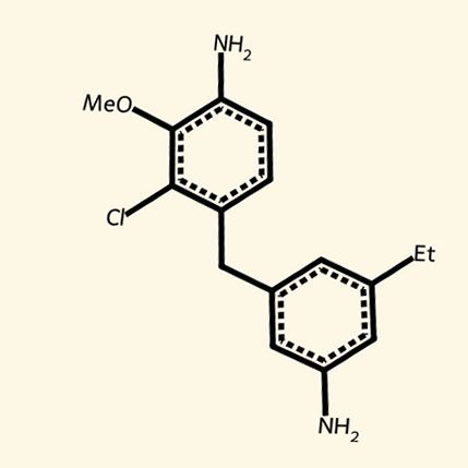 CCc1cc(N)cc(Cc2ccc(N)c(OC)c2Cl)c1